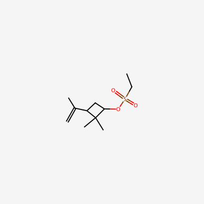 C=C(C)C1CC(OS(=O)(=O)CC)C1(C)C